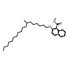 CCCCCCCCCCCC(C)CCCCCCOc1ccc2ccccc2c1C(=O)OC